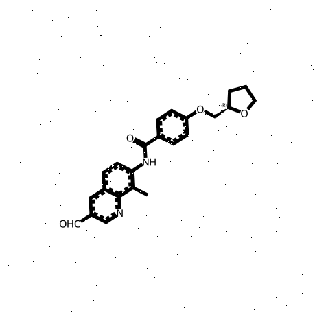 Cc1c(NC(=O)c2ccc(OC[C@H]3CCCO3)cc2)ccc2cc(C=O)cnc12